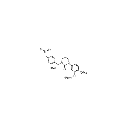 CCCCCOc1cc(N2CCCN(Cc3ccc(CN(CC)CC)cc3OC)C2=O)ccc1OC